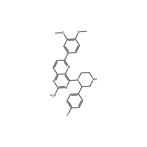 COc1ccc(-c2ccc3nc(N)nc(N4CCNCC4c4ccc(F)cc4)c3n2)cc1OC